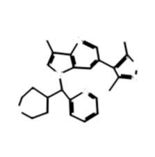 Cc1noc(C)c1-c1cnc2c(I)cn(C(c3ccccn3)C3CCOCC3)c2c1